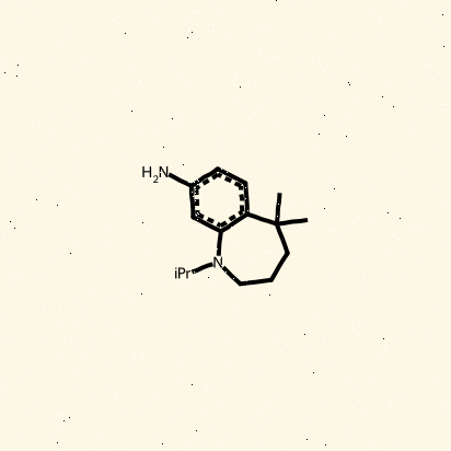 CC(C)N1CCCC(C)(C)c2ccc(N)cc21